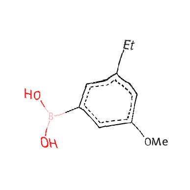 CCc1cc(OC)cc(B(O)O)c1